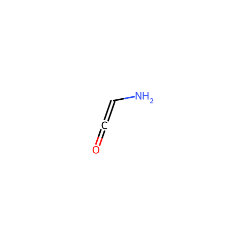 NC=C=O